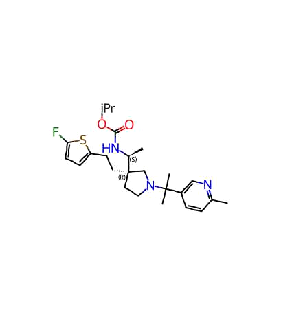 Cc1ccc(C(C)(C)N2CC[C@@](CCc3ccc(F)s3)([C@H](C)NC(=O)OC(C)C)C2)cn1